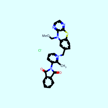 COCN1c2cc(C[n+]3cccc(N4C(=O)c5ccccc5C4=O)c3C)ccc2Sc2nccnc21.[Cl-]